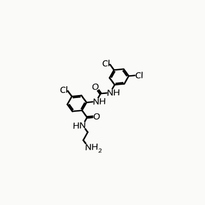 NCCNC(=O)c1ccc(Cl)cc1NC(=O)Nc1cc(Cl)cc(Cl)c1